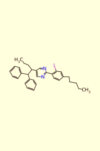 CCCCCc1ccc(-c2ncc(C(CCC)C(c3ccccc3)c3ccccc3)cn2)c(I)c1